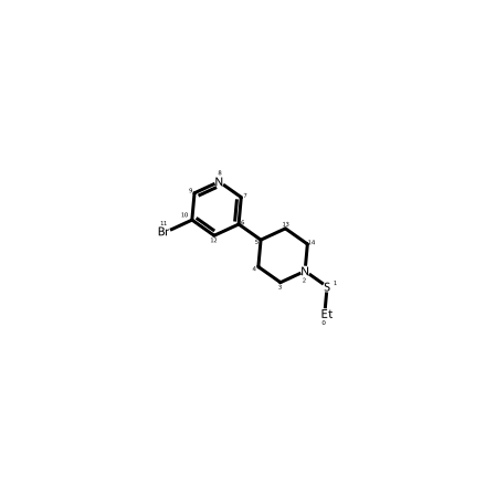 CCSN1CCC(c2cncc(Br)c2)CC1